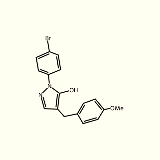 COc1ccc(Cc2cnn(-c3ccc(Br)cc3)c2O)cc1